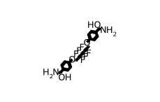 NC(O)c1ccc(OCC(F)(F)C(F)(F)C(F)(F)COc2ccc(C(N)O)cc2)cc1